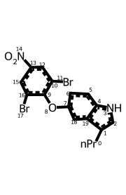 CCCc1c[nH]c2ccc(Oc3c(Br)cc([N+](=O)[O-])cc3Br)cc12